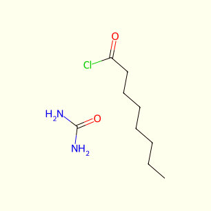 CCCCCCCC(=O)Cl.NC(N)=O